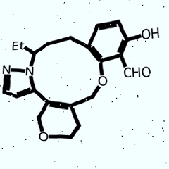 CCC1CCc2ccc(O)c(C=O)c2OCC2=C(COCC2)c2ccnn21